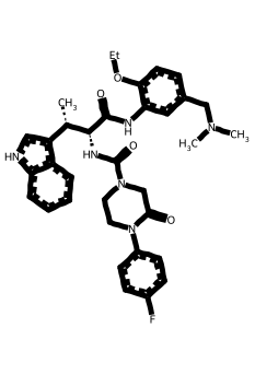 CCOc1ccc(CN(C)C)cc1NC(=O)[C@H](NC(=O)N1CCN(c2ccc(F)cc2)C(=O)C1)[C@@H](C)c1c[nH]c2ccccc12